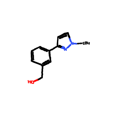 CC(C)(C)n1ccc(-c2cccc(CO)c2)n1